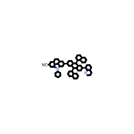 N#Cc1cc2ccc3cc(-c4ccc5c(-c6cccc7ccccc67)c6cc(-c7cccc8cccnc78)ccc6c(-c6cccc7ccccc67)c5c4)cc4c3c2c(c1)n4-c1ccccc1